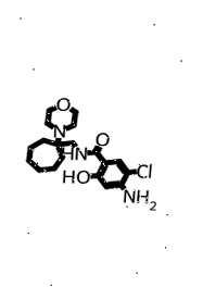 Nc1cc(O)c(C(=O)NCC2(N3CCOCC3)CCCCCC2)cc1Cl